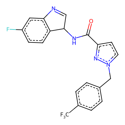 O=C(NC1C=Nc2cc(F)ccc21)c1ccn(Cc2ccc(C(F)(F)F)cc2)n1